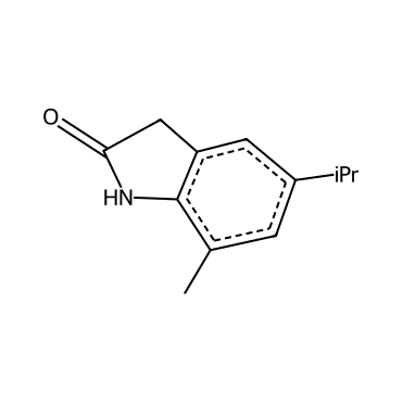 Cc1cc(C(C)C)cc2c1NC(=O)C2